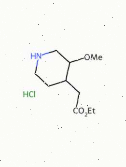 CCOC(=O)CC1CCNCC1OC.Cl